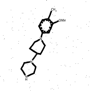 COc1cc(N2CCC(N3CCNCC3)CC2)ccc1C